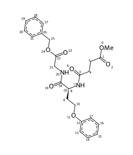 COC(=O)CCC(=O)N[C@@H](CCOc1ccccc1)C(=O)NCC(=O)OCc1ccccc1